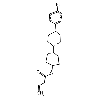 C=CCC(=O)O[C@H]1CC[C@H]([C@H]2CC[C@H](c3ccc(CC)cc3)CC2)CC1